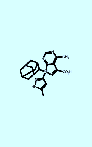 Cc1cc([N+]2(C3C4CC5CC(C4)CC3C5)N=C(C(=O)O)c3c(N)ncnc32)n[nH]1